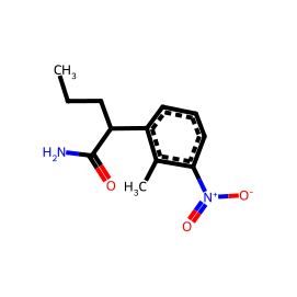 CCCC(C(N)=O)c1cccc([N+](=O)[O-])c1C